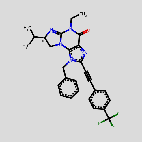 CCN1C(=O)c2nc(C#Cc3ccc(C(F)(F)F)cc3)n(Cc3ccccc3)c2N2C[C@@H](C(C)C)N=C12